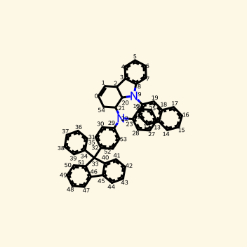 C1=CC2c3ccccc3N(c3ccc4ccccc4c3)C2C(N(c2ccccc2)c2ccc(C3(c4ccccc4)c4ccccc4-c4ccccc43)cc2)C1